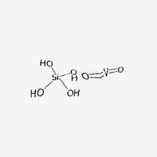 O[Si](O)(O)O.[O]=[V]=[O]